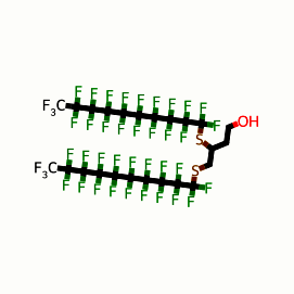 OCCC(CSC(F)(F)C(F)(F)C(F)(F)C(F)(F)C(F)(F)C(F)(F)C(F)(F)C(F)(F)C(F)(F)C(F)(F)F)SC(F)(F)C(F)(F)C(F)(F)C(F)(F)C(F)(F)C(F)(F)C(F)(F)C(F)(F)C(F)(F)C(F)(F)F